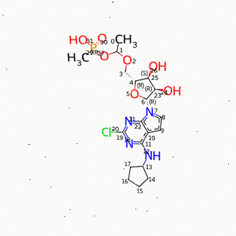 CC(OC[C@H]1O[C@@H](n2ccc3c(NC4CCCC4)nc(Cl)nc32)[C@H](O)[C@@H]1O)OP(C)(=O)O